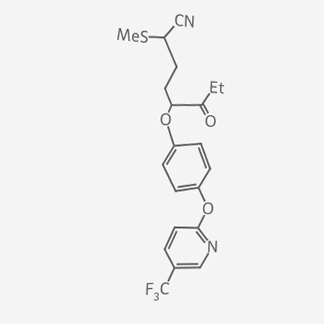 CCC(=O)C(CCC(C#N)SC)Oc1ccc(Oc2ccc(C(F)(F)F)cn2)cc1